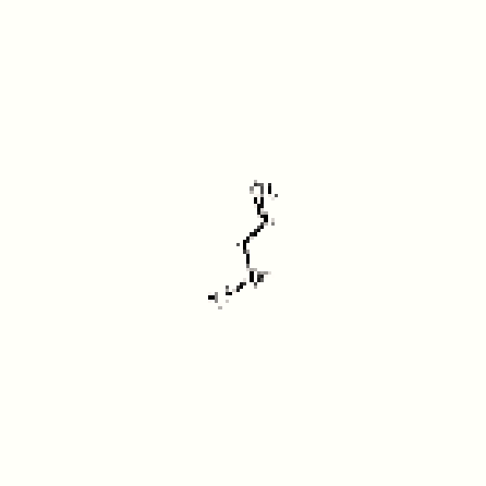 C=CC[Te+]C